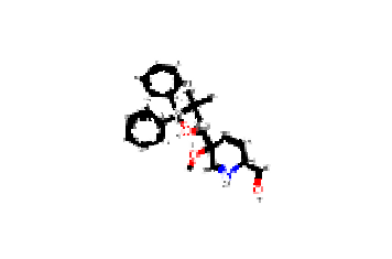 COC1(CO[Si](c2ccccc2)(c2ccccc2)C(C)(C)C)C=CC(C=O)N=C1